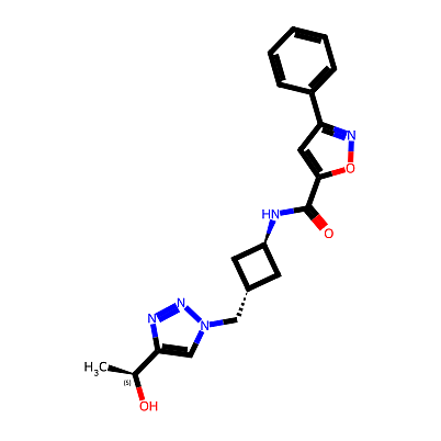 C[C@H](O)c1cn(C[C@H]2C[C@H](NC(=O)c3cc(-c4ccccc4)no3)C2)nn1